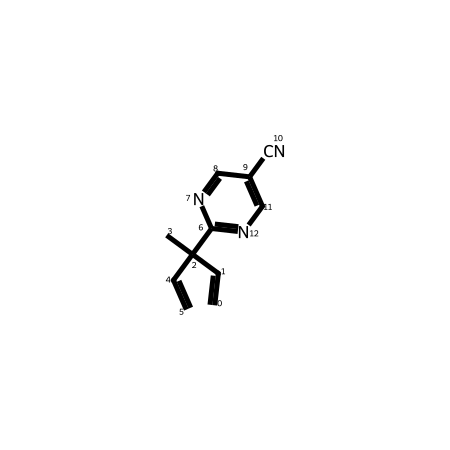 C=CC(C)(C=C)c1ncc(C#N)cn1